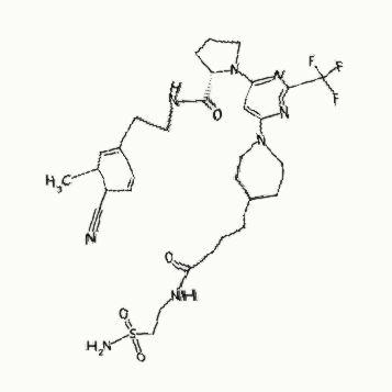 CC1C=C(CCNC(=O)[C@@H]2CCCN2c2cc(N3CCC(CCCC(=O)NCCS(N)(=O)=O)CC3)nc(C(F)(F)F)n2)C=CC1C#N